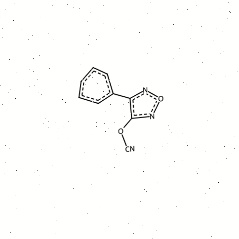 N#COc1nonc1-c1ccccc1